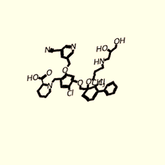 CC1(Cl)C(c2ccccc2)=CC=CC1(COc1cc(OCc2cncc(C#N)c2)c(CN2CCCC[C@H]2C(=O)O)cc1Cl)OCCCNCC(O)CO